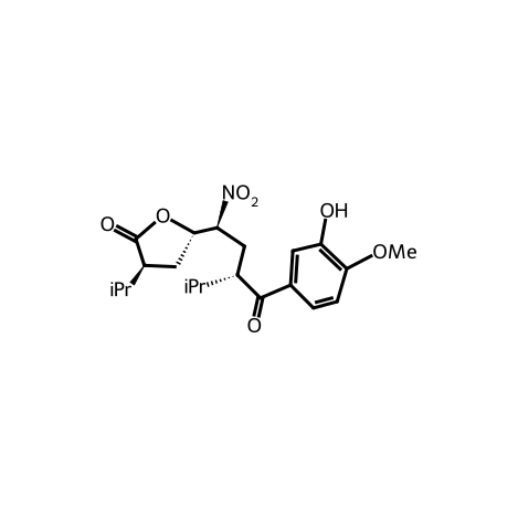 COc1ccc(C(=O)[C@@H](C[C@@H]([C@@H]2C[C@@H](C(C)C)C(=O)O2)[N+](=O)[O-])C(C)C)cc1O